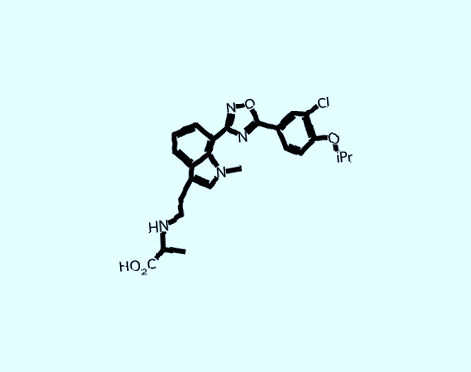 CC(C)Oc1ccc(-c2nc(-c3cccc4c(CCNC(C)C(=O)O)cn(C)c34)no2)cc1Cl